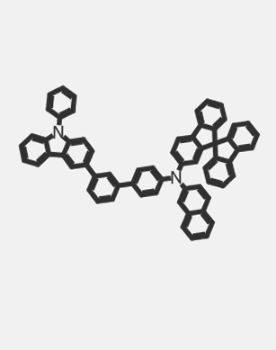 c1ccc(-n2c3ccccc3c3cc(-c4cccc(-c5ccc(N(c6ccc7c(c6)C6(c8ccccc8-c8ccccc86)c6ccccc6-7)c6ccc7ccccc7c6)cc5)c4)ccc32)cc1